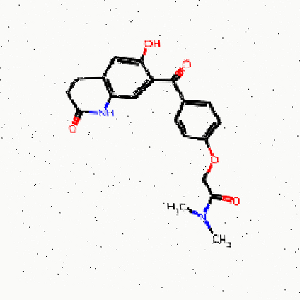 CN(C)C(=O)COc1ccc(C(=O)c2cc3c(cc2O)CCC(=O)N3)cc1